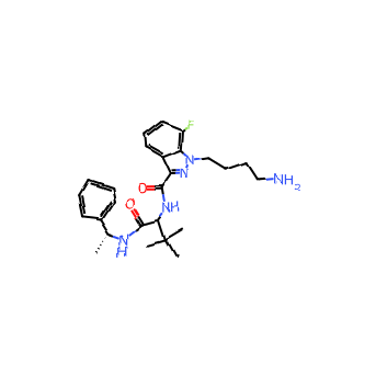 C[C@@H](NC(=O)C(NC(=O)c1nn(CCCCN)c2c(F)cccc12)C(C)(C)C)c1ccccc1